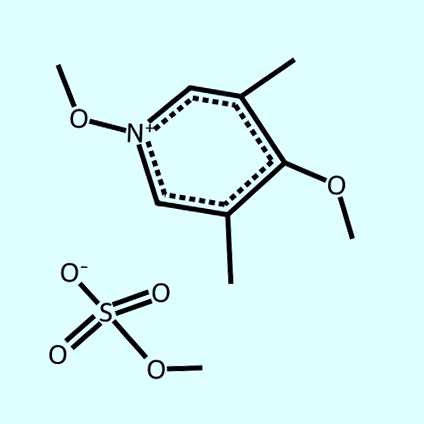 COS(=O)(=O)[O-].COc1c(C)c[n+](OC)cc1C